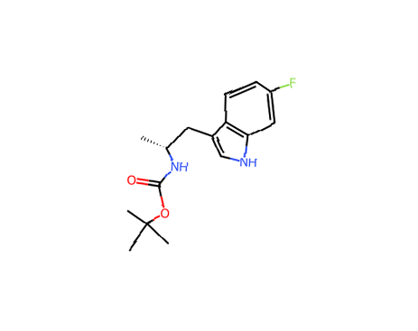 C[C@H](Cc1c[nH]c2cc(F)ccc12)NC(=O)OC(C)(C)C